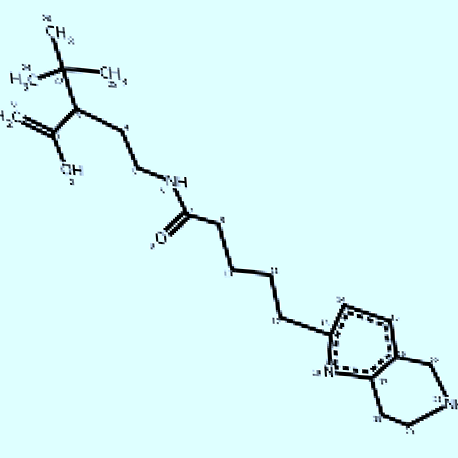 C=C(O)C(CCNC(=O)CCCCc1ccc2c(n1)CCNC2)C(C)(C)C